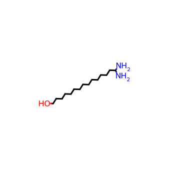 NC(N)CCCCCCCCCCCCCCO